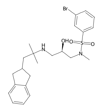 CN(C[C@H](O)CNC(C)(C)CC1Cc2ccccc2C1)S(=O)(=O)c1cccc(Br)c1